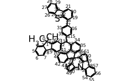 CC1(C)c2ccccc2-c2ccc(C(c3ccc(-c4cccc5c4sc4ccccc45)cc3)c3cccc4c3-c3ccccc3C43c4ccccc4-n4c5ccccc5c5cccc3c54)cc21